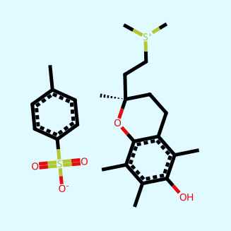 Cc1c(C)c2c(c(C)c1O)CC[C@](C)(CC[S+](C)C)O2.Cc1ccc(S(=O)(=O)[O-])cc1